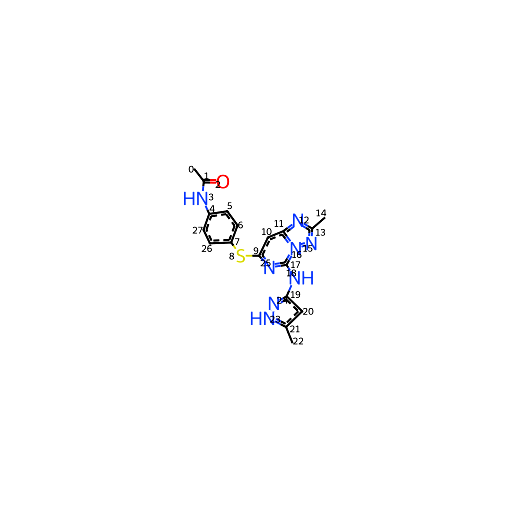 CC(=O)Nc1ccc(Sc2cc3nc(C)nn3c(Nc3cc(C)[nH]n3)n2)cc1